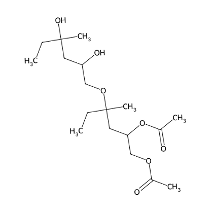 CCC(C)(O)CC(O)COC(C)(CC)CC(COC(C)=O)OC(C)=O